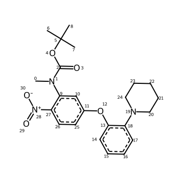 CN(C(=O)OC(C)(C)C)c1cc(Oc2ccccc2N2CCCCC2)ccc1[N+](=O)[O-]